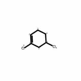 ClC1=[C]CCC(Cl)C1